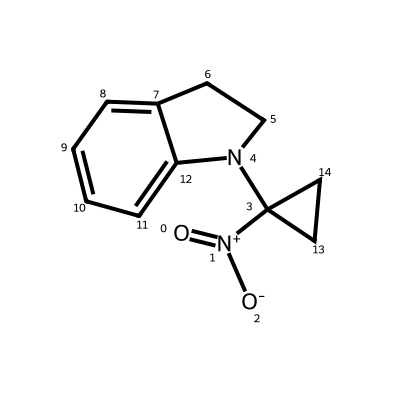 O=[N+]([O-])C1(N2CCc3ccccc32)CC1